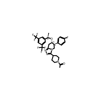 CC(=O)N1CCC(c2nnc3n2C[C@H](c2ccc(F)cc2)[C@@H](O[C@H](C)c2cc(C(F)(F)F)cc(C(F)(F)F)c2)C3)CC1